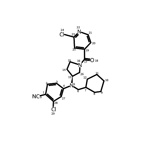 N#Cc1ccc(N(CC2CCCCC2)[C@H]2CCN(C(=O)c3ccnc(Cl)c3)C2)cc1Cl